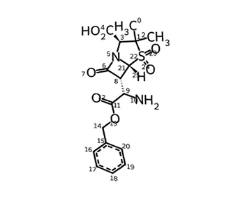 CC1(C)[C@H](C(=O)O)N2C(=O)[C@@H](C(N)C(=O)OCc3ccccc3)[C@H]2S1(=O)=O